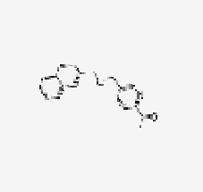 CC(=O)c1ccc(COCc2ccc3ccccc3c2)cn1